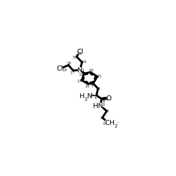 [CH2]CCNC(=O)[C@@H](N)Cc1ccc(N(CCCl)CCCl)cc1